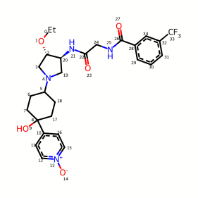 CCO[C@H]1CN(C2CCC(O)(c3cc[n+]([O-])cc3)CC2)C[C@@H]1NC(=O)CNC(=O)c1cccc(C(F)(F)F)c1